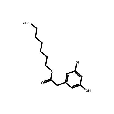 CCCCCCCCCCCCCCCCOC(=O)Cc1cc(O)cc(O)c1